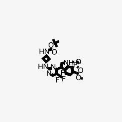 COC(=O)c1ccc2c(-c3nc(N[C@H]4C[C@H](NC(=O)OC(C)(C)C)C4)ncc3C(F)(F)F)c[nH]c2c1P(C)(C)=O